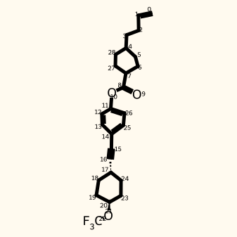 C=CCCC1CCC(C(=O)Oc2ccc(C#C[C@H]3CC[C@H](OC(F)(F)F)CC3)cc2)CC1